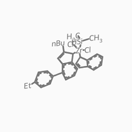 CCCCC1=Cc2c(-c3ccc(CC)cc3)cccc2[CH]1[Zr]([Cl])([Cl])([CH]1C=Cc2ccccc21)[SiH](C)C